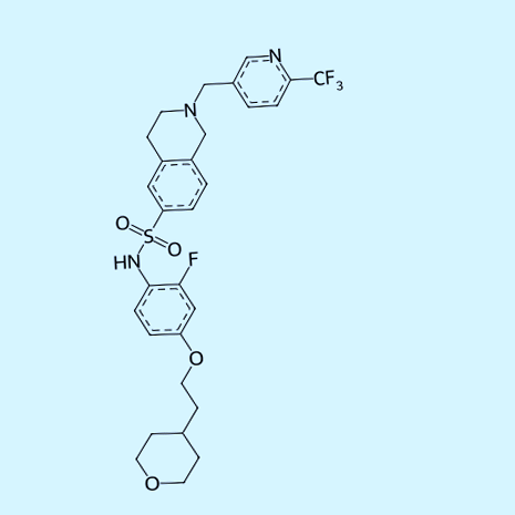 O=S(=O)(Nc1ccc(OCCC2CCOCC2)cc1F)c1ccc2c(c1)CCN(Cc1ccc(C(F)(F)F)nc1)C2